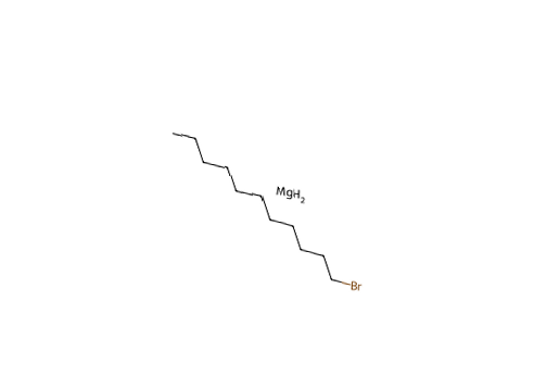 CCCCCCCCCCCBr.[MgH2]